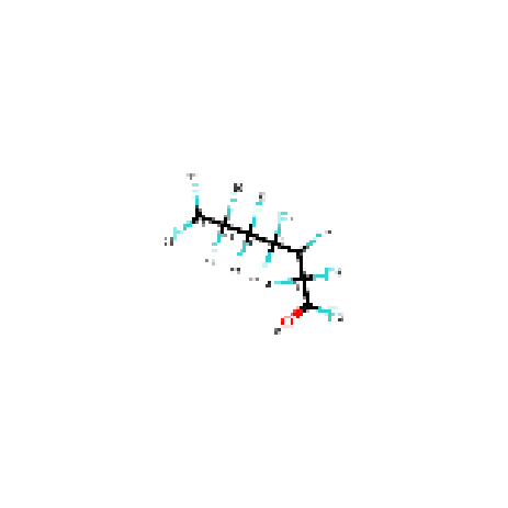 O=C(F)C(F)(F)C(F)C(F)(F)C(F)(F)C(F)(F)[C](F)F